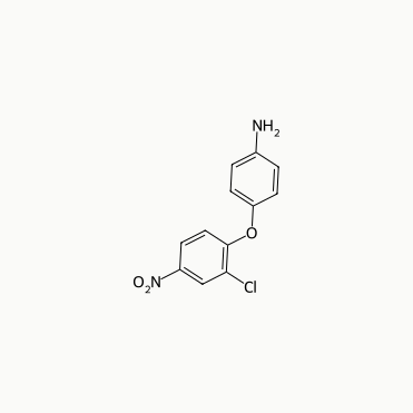 Nc1ccc(Oc2ccc([N+](=O)[O-])cc2Cl)cc1